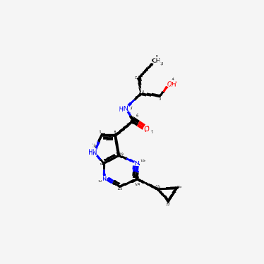 CC[C@@H](CO)NC(=O)c1c[nH]c2ncc(C3CC3)nc12